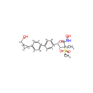 CC(CCc1ccc(-c2ccc(C3CC3CO)cc2)cc1)(C(=O)NO)S(C)(=O)=O